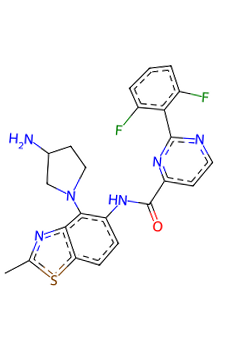 Cc1nc2c(N3CCC(N)C3)c(NC(=O)c3ccnc(-c4c(F)cccc4F)n3)ccc2s1